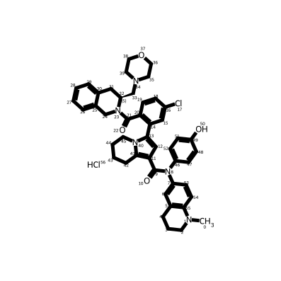 CN1CCCc2cc(N(C(=O)c3cc(-c4cc(Cl)ccc4C(=O)N4Cc5ccccc5C[C@H]4CN4CCOCC4)n4c3CCCC4)c3ccc(O)cc3)ccc21.Cl